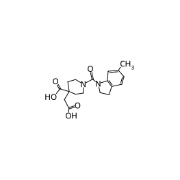 Cc1ccc2c(c1)N(C(=O)N1CCC(CC(=O)O)(C(=O)O)CC1)CC2